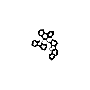 c1ccc2c(c1)cc(N(c1cccc3c1oc1ccccc13)c1cccc3c1oc1c4ccccc4ccc31)c1ccccc12